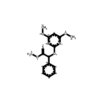 COC(=S)C(Oc1nc(OC)cc(OC)n1)c1ccccc1